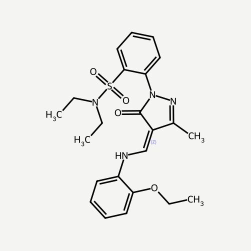 CCOc1ccccc1N/C=C1\C(=O)N(c2ccccc2S(=O)(=O)N(CC)CC)N=C1C